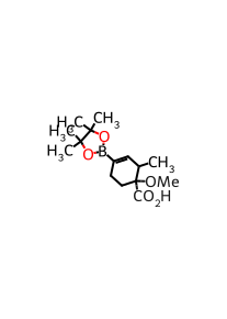 COC1(C(=O)O)CCC(B2OC(C)(C)C(C)(C)O2)=CC1C